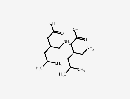 CC(C)C[C@H](CN)CC(=O)O.CC(C)C[C@H](CN)CC(=O)O